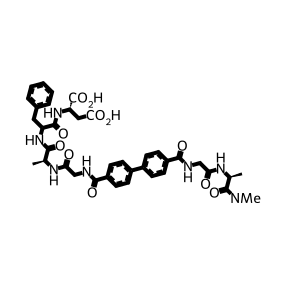 CNC(=O)[C@H](C)NC(=O)CNC(=O)c1ccc(-c2ccc(C(=O)NCC(=O)N[C@@H](C)C(=O)NC(Cc3ccccc3)C(=O)N[C@@H](CC(=O)O)C(=O)O)cc2)cc1